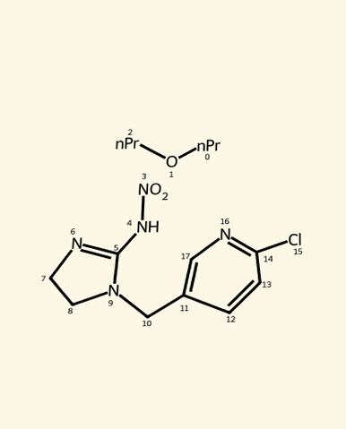 CCCOCCC.O=[N+]([O-])NC1=NCCN1Cc1ccc(Cl)nc1